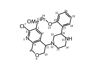 COc1cc2c(nc1Cl)COCC2N1CCNC(c2ccccc2OC(C)C)C1